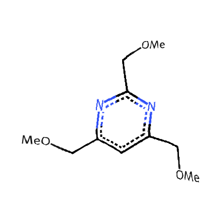 COCc1cc(COC)nc(COC)n1